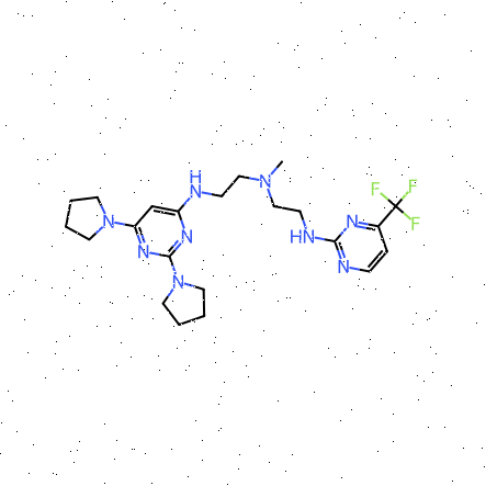 CN(CCNc1cc(N2CCCC2)nc(N2CCCC2)n1)CCNc1nccc(C(F)(F)F)n1